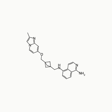 Cc1cn2ccc(OCC34CC(CNc5cccc6c(N)nccc56)(C3)C4)cc2n1